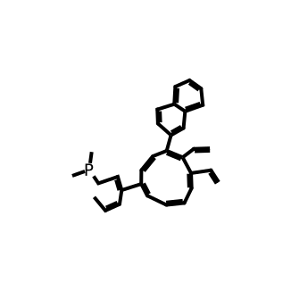 C=Cc1ccccc(C(/C=C\C)=C/CP(C)C)ccc(-c2ccc3ccccc3c2)c1C=C